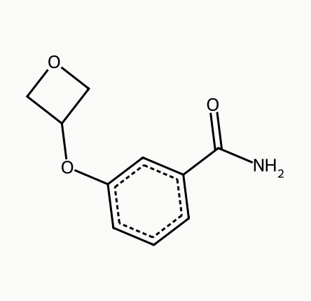 NC(=O)c1cccc(OC2COC2)c1